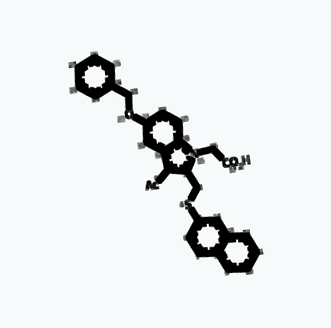 CC(=O)c1c(CSc2ccc3ccccc3c2)n(CC(=O)O)c2ccc(OCc3ccccc3)cc12